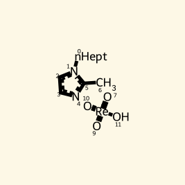 CCCCCCCn1ccnc1C.[O]=[Re](=[O])(=[O])[OH]